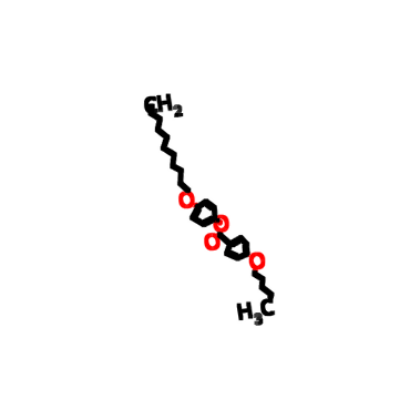 C=CCCCCCCCCCOc1ccc(OC(=O)c2ccc(OCCCCC)cc2)cc1